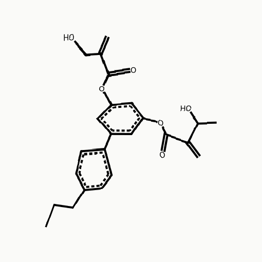 C=C(CO)C(=O)Oc1cc(OC(=O)C(=C)C(C)O)cc(-c2ccc(CCC)cc2)c1